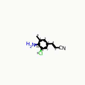 Cc1cc(/C=C/C#N)cc(Cl)c1N